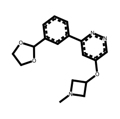 CN1CC(Oc2cnnc(-c3cccc(C4OCCO4)c3)c2)C1